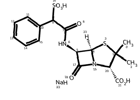 CC1(C)S[C@@H]2[C@H](NC(=O)C(c3ccccc3)S(=O)(=O)O)C(=O)N2[C@H]1C(=O)O.[NaH]